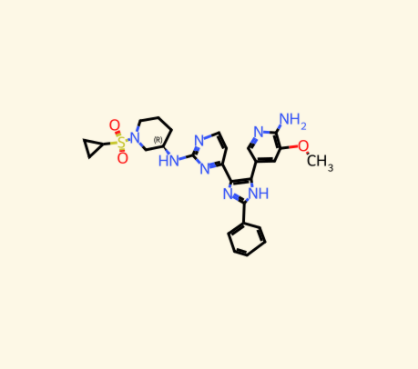 COc1cc(-c2[nH]c(-c3ccccc3)nc2-c2ccnc(N[C@@H]3CCCN(S(=O)(=O)C4CC4)C3)n2)cnc1N